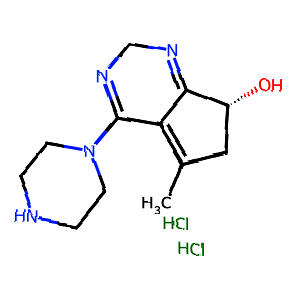 CC1=C2C(=NCN=C2N2CCNCC2)[C@H](O)C1.Cl.Cl